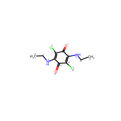 CCNC1=C(Cl)C(=O)C(NCC)=C(Cl)C1=O